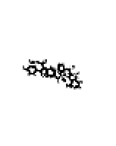 CNC(=O)c1c(-c2ccc(C)cc2)oc2cc(N(C)S(C)(=O)=O)c([C@H]3CCN(C(=O)c4cc5c(F)cccc5n4C)C3)cc12